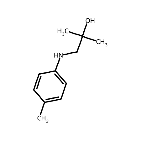 Cc1ccc(NCC(C)(C)O)cc1